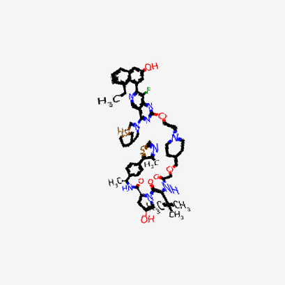 CCc1cccc2cc(O)cc(-c3ncc4c(N5CC6CC[SH](C6)C5)nc(OCCN5CCC(COCC(=O)N[C@H](C(=O)N6C[C@H](O)C[C@H]6C(=O)N[C@@H](C)c6ccc(-c7scnc7C)cc6)C(C)(C)C)CC5)nc4c3F)c12